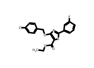 CCOC(=O)c1sc(-c2cccc(F)c2)nc1OCc1ccc(Cl)cc1